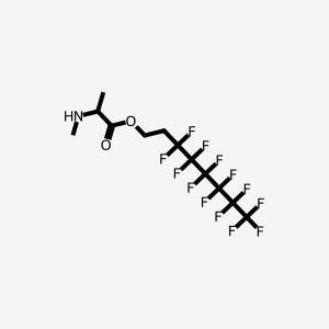 CNC(C)C(=O)OCCC(F)(F)C(F)(F)C(F)(F)C(F)(F)C(F)(F)C(F)(F)F